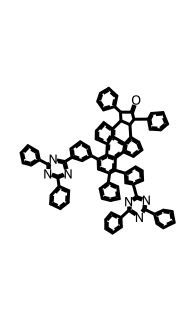 O=C1C(c2ccccc2)C2c3cccc4c5c(-c6cccc(-c7nc(-c8ccccc8)nc(-c8ccccc8)n7)c6)cc(-c6ccccc6)c(-c6cccc(-c7nc(-c8ccccc8)nc(-c8ccccc8)n7)c6)c5c5cccc(c5c34)C2C1c1ccccc1